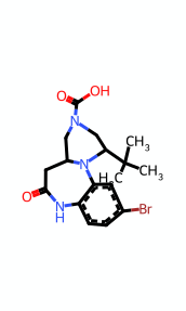 CC(C)(C)C1CN(C(=O)O)CC2CC(=O)Nc3ccc(Br)cc3N21